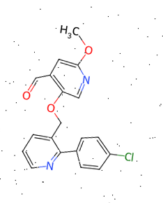 COc1cc(C=O)c(OCc2cccnc2-c2ccc(Cl)cc2)cn1